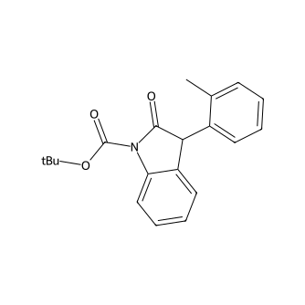 Cc1ccccc1C1C(=O)N(C(=O)OC(C)(C)C)c2ccccc21